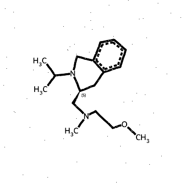 COCCN(C)C[C@@H]1Cc2ccccc2CN1C(C)C